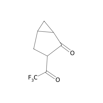 O=C1C(C(=O)C(F)(F)F)CC2CC12